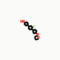 Oc1ccc(-c2ccc(-c3ccc(OC4CCCCO4)cc3)c(F)c2)cc1